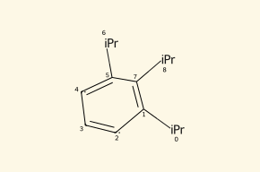 CC(C)c1[c]c[c]c(C(C)C)c1C(C)C